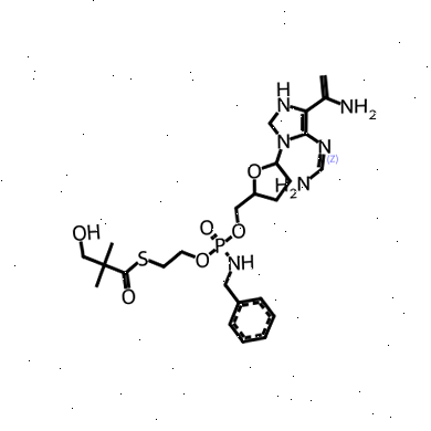 C=C(N)C1=C(/N=C\N)N(C2CCC(COP(=O)(NCc3ccccc3)OCCSC(=O)C(C)(C)CO)O2)CN1